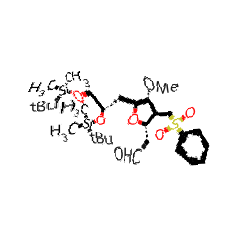 CO[C@H]1C(C[C@@H](CO[Si](C)(C)C(C)(C)C)O[Si](C)(C)C(C)(C)C)O[C@@H](CC=O)C1CS(=O)(=O)c1ccccc1